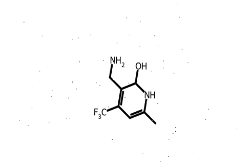 CC1=CC(C(F)(F)F)=C(CN)C(O)N1